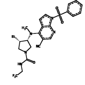 CC[C@H]1CN(C(=O)NCC(F)(F)F)C[C@H]1N(C)c1c(C#N)cnc2c1ccn2S(=O)(=O)c1ccccc1